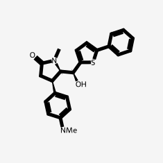 CNc1ccc([C@H]2CC(=O)N(C)[C@H]2[C@H](O)c2ccc(-c3ccccc3)s2)cc1